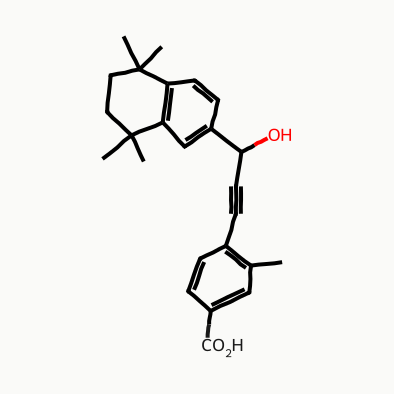 Cc1cc(C(=O)O)ccc1C#CC(O)c1ccc2c(c1)C(C)(C)CCC2(C)C